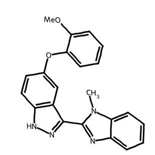 COc1ccccc1Oc1ccc2[nH]nc(-c3nc4ccccc4n3C)c2c1